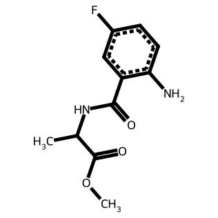 COC(=O)C(C)NC(=O)c1cc(F)ccc1N